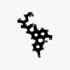 CCC(COC(F)(F)F)NC(=O)Oc1cn(-c2ccc(F)cc2F)c2nc(Cl)ccc2c1=O